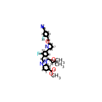 COC(=O)c1ccc2nc(Cc3ccc(-c4cccc(OCc5ccc(C#N)cc5F)n4)cc3F)n(CC3CC(C)(C)O3)c2c1